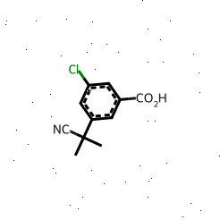 CC(C)(C#N)c1cc(Cl)cc(C(=O)O)c1